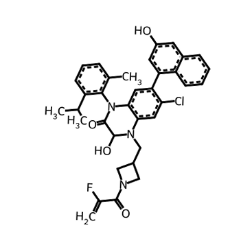 C=C(F)C(=O)N1CC(CN2c3cc(Cl)c(-c4cc(O)cc5ccccc45)cc3N(c3c(C)cccc3C(C)C)C(=O)C2O)C1